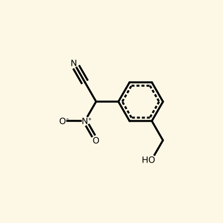 N#CC(c1cccc(CO)c1)[N+](=O)[O-]